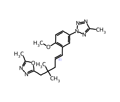 COc1ccc(-n2nnc(C)n2)cc1/C=C/CC(C)(C)Cc1nnc(C)o1